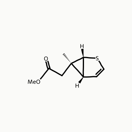 COC(=O)C[C@@]1(C)[C@@H]2SC=C[C@@H]21